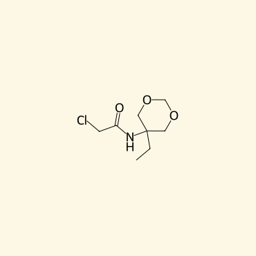 CCC1(NC(=O)CCl)COCOC1